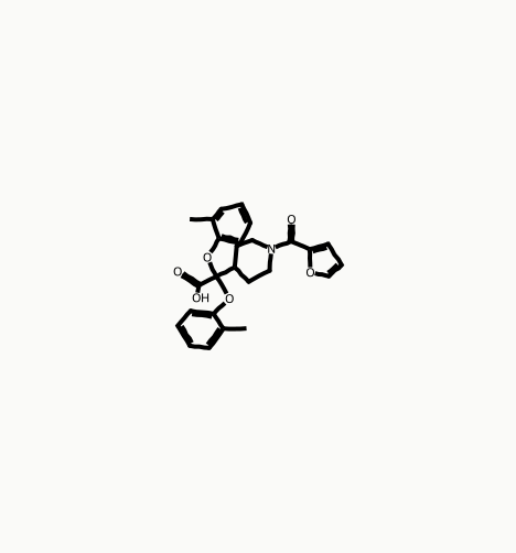 Cc1ccccc1OC(Oc1ccccc1C)(C(=O)O)C1CCN(C(=O)c2ccco2)CC1